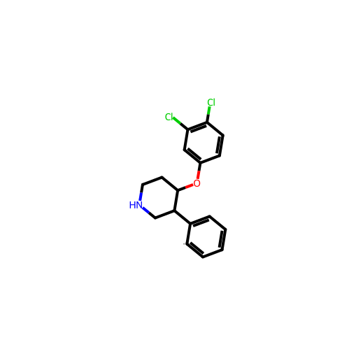 Clc1ccc(OC2CCNCC2c2[c]cccc2)cc1Cl